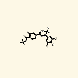 Cc1cc(C(=O)/C=C(/c2cc(Cl)c(Cl)c(Cl)c2)C(F)(F)F)ccc1C(=O)OC(C)(C)C